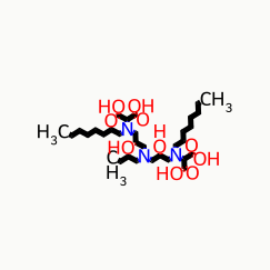 CCCCCCCCN(CC(O)CN(CCCC)CC(O)CN(CCCCCCCC)C(C(=O)O)C(=O)O)C(C(=O)O)C(=O)O